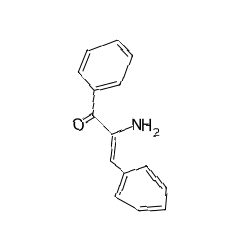 NC(=Cc1ccccc1)C(=O)c1ccccc1